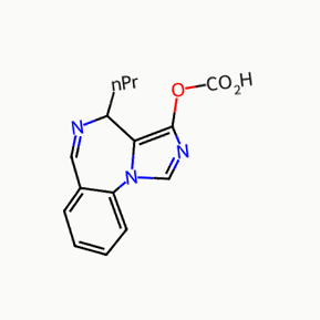 CCCC1N=Cc2ccccc2-n2cnc(OC(=O)O)c21